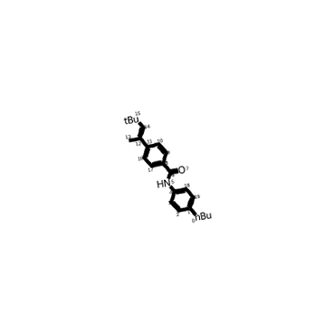 CCCCc1ccc(NC(=O)c2ccc(/C(C)=C/C(C)(C)C)cc2)cc1